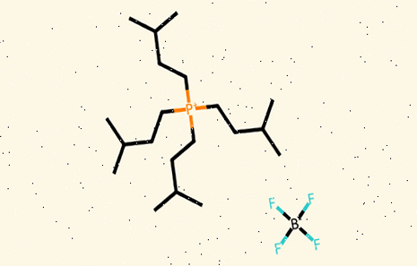 CC(C)CC[P+](CCC(C)C)(CCC(C)C)CCC(C)C.F[B-](F)(F)F